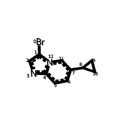 Brc1cnc2ccc(C3CC3)cn12